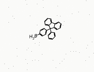 Bc1ccc(C2(c3ccccc3)c3ccccc3-c3ccccc32)cc1